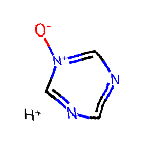 [H+].[O-][n+]1cncnc1